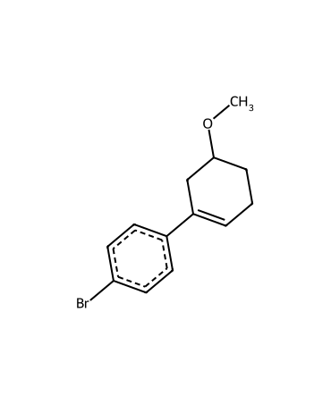 COC1CCC=C(c2ccc(Br)cc2)C1